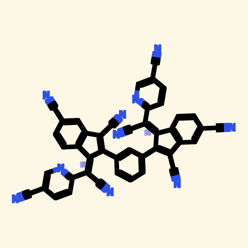 N#CC1=C(c2cccc(C3=C(C#N)c4cc(C#N)ccc4/C3=C(/C#N)c3ccc(C#N)cn3)c2)/C(=C(\C#N)c2ccc(C#N)cn2)c2ccc(C#N)cc21